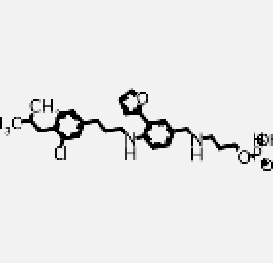 CC(C)Cc1ccc(CCCNc2ccc(CNCCCO[PH](=O)O)cc2-c2ccco2)cc1Cl